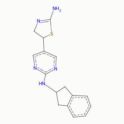 NC1=NCC(c2cnc(NC3Cc4ccccc4C3)nc2)S1